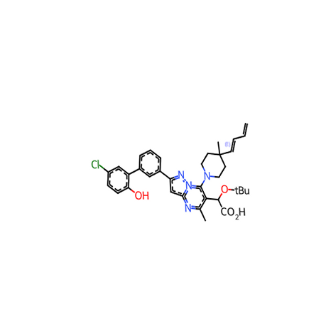 C=C/C=C/C1(C)CCN(c2c(C(OC(C)(C)C)C(=O)O)c(C)nc3cc(-c4cccc(-c5cc(Cl)ccc5O)c4)nn23)CC1